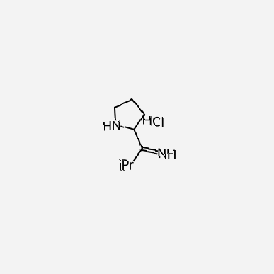 CC(C)C(=N)C1CCCN1.Cl